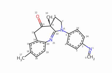 C=Nc1ccc(N2CC[C@@]3(C)C(=O)Cc4cc(C)ccc4N=C23)cc1